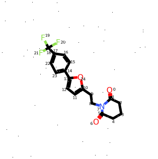 O=C1CCCC(=O)N1CCc1ccc(-c2ccc(C(F)(F)F)cc2)o1